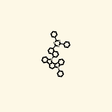 c1ccc(-c2nc(-c3ccccc3)nc(-c3cccc4c(-n5c6ccccc6c6ccc7c(c8ccccc8n7-c7ccccc7)c65)cccc34)n2)cc1